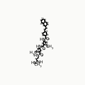 CNC(=N)CCNC(=O)c1cc(NC(=O)c2cc(NC(=O)c3ccc(C=Cc4ccc5ccccc5c4)cc3)cn2C)cn1C